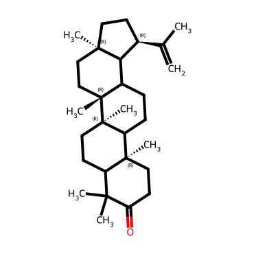 C=C(C)[C@@H]1CC[C@]2(C)CC[C@]3(C)C(CCC4[C@@]5(C)CCC(=O)C(C)(C)C5CC[C@]43C)C12